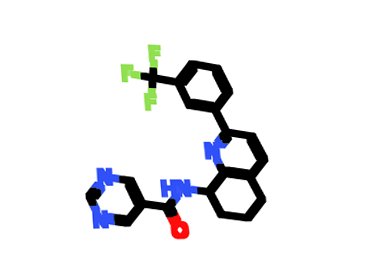 O=C(NC1CCCc2ccc(-c3cccc(C(F)(F)F)c3)nc21)c1cncnc1